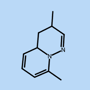 CC1=CC=CC2CC(C)C=NN12